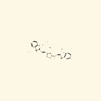 CCN1/C(=C/CC2CCC(/C=C/C3=[N+](CC)c4ccc(C)cc4C3(C)C)C2OC(C)OC)C(C)(C)c2cc(C)ccc21